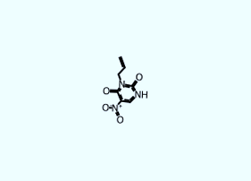 C=CCn1c(=O)[nH]cc([N+](=O)[O-])c1=O